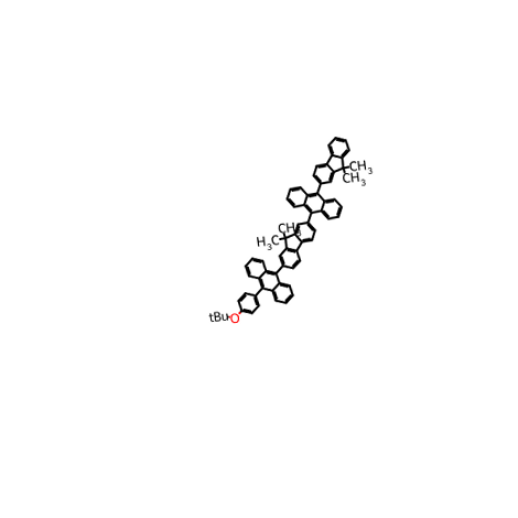 CC(C)(C)Oc1ccc(-c2c3ccccc3c(-c3ccc4c(c3)C(C)(C)c3cc(-c5c6ccccc6c(-c6ccc7c(c6)C(C)(C)c6ccccc6-7)c6ccccc56)ccc3-4)c3ccccc23)cc1